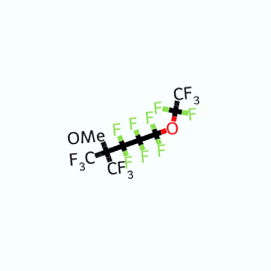 COC(C(F)(F)F)(C(F)(F)F)C(F)(F)C(F)(F)C(F)(F)OC(F)(F)C(F)(F)F